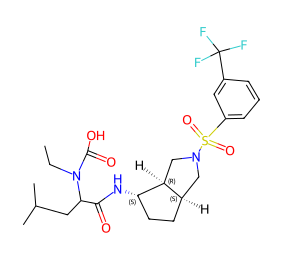 CCN(C(=O)O)C(CC(C)C)C(=O)N[C@H]1CC[C@@H]2CN(S(=O)(=O)c3cccc(C(F)(F)F)c3)C[C@@H]21